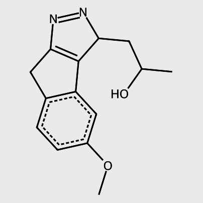 COc1ccc2c(c1)C1=C(C2)N=NC1CC(C)O